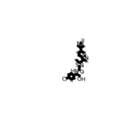 Cc1sc(C(=O)NC(CO)c2ccc(Cl)cc2)nc1-c1cnn2cc(-c3cnn(C)c3)ccc12